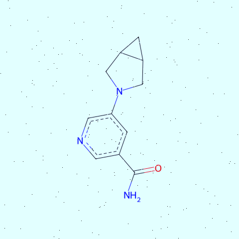 NC(=O)c1cncc(N2CC3CC3C2)c1